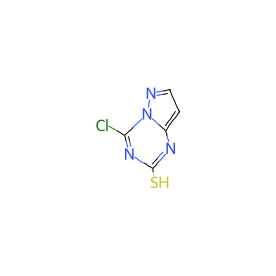 Sc1nc(Cl)n2nccc2n1